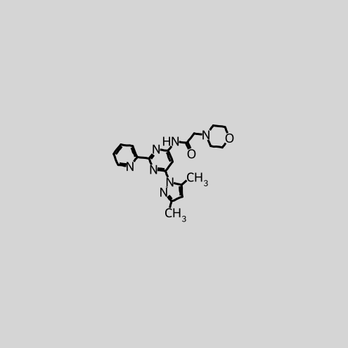 Cc1cc(C)n(-c2cc(NC(=O)CN3CCOCC3)nc(-c3ccccn3)n2)n1